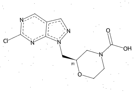 O=C(O)N1CCO[C@@H](Cn2ncc3cnc(Cl)nc32)C1